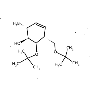 B[C@@H]1C=C[C@H](COC(C)(C)C)[C@@H](OC(C)(C)C)[C@H]1O